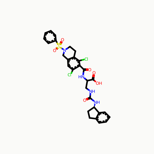 O=C(NCC(NC(=O)c1c(Cl)cc2c(c1Cl)CCN(S(=O)(=O)c1ccccc1)C2)C(=O)O)N[C@@H]1CCc2ccccc21